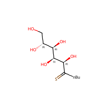 CCCCC(=S)[C@H](O)[C@@H](O)[C@H](O)[C@H](O)CO